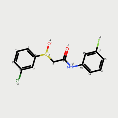 O=C(C[S+]([O-])c1cccc(Cl)c1)Nc1cccc(F)c1